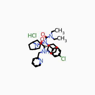 CCN(CC)C(=O)N(C1CCCCC1)C1CC2CCC(C1)N2C(=O)[C@@H](Cc1ccc(Cl)cc1)NCc1ccccn1.Cl